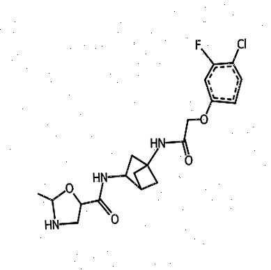 CC1NCC(C(=O)NC2CC3(NC(=O)COc4ccc(Cl)c(F)c4)CC2C3)O1